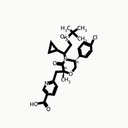 CC(C)(C)[S+]([O-])CC(C1CC1)N1C(=O)[C@@](C)(Cc2ccc(C(=O)O)cn2)OC[C@H]1c1ccc(Cl)cc1